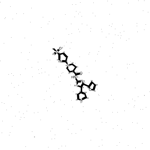 CS(=O)(=O)c1ccc(N2CCC(C(=O)Nc3nc(-c4ccco4)c(-c4ccncc4)s3)CC2)nc1